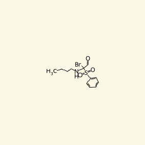 CCCCNC(Br)(C=O)S(=O)(=O)c1ccccc1